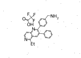 CCc1nccc2nc(-c3ccc(CN)cc3)c(-c3ccccc3)cc12.O=C(O)C(F)(F)F